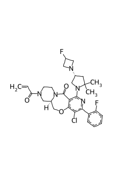 C=CC(=O)N1CCN2C(=O)c3c(N4C[C@H](N5CC(F)C5)CC4(C)C)nc(-c4ccccc4F)c(Cl)c3OC[C@H]2C1